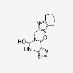 O=C1c2ccsc2NC(O)N1Cc1nc2c(s1)CCCC2